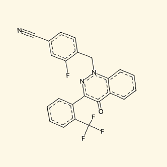 N#Cc1ccc(Cn2nc(-c3ccccc3C(F)(F)F)c(=O)c3ccccc32)c(F)c1